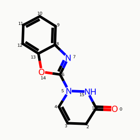 O=C1CC=CN(c2nc3ccccc3o2)N1